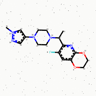 CC(c1nc2c(cc1F)OCCO2)N1CCN(c2cnn(C)c2)CC1